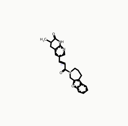 CC1Cc2cc(/C=C/C(=O)N3CCCc4c(oc5ccccc45)C3)cnc2NC1=O